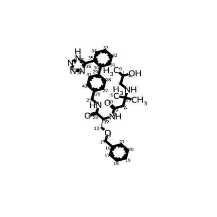 CC(O)CNC(C)(C)CC(=O)N[C@H](COCc1ccccc1)C(=O)NCc1ccc(-c2ccccc2-c2nnn[nH]2)cc1